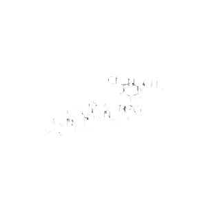 Cc1cc(C(=O)N2CCN(CC(=O)N3CCN(C4CCC4)CC3)CC2)cc(Cl)n1